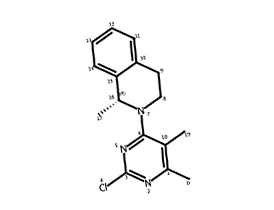 Cc1nc(Cl)nc(N2CCc3ccccc3[C@H]2C)c1C